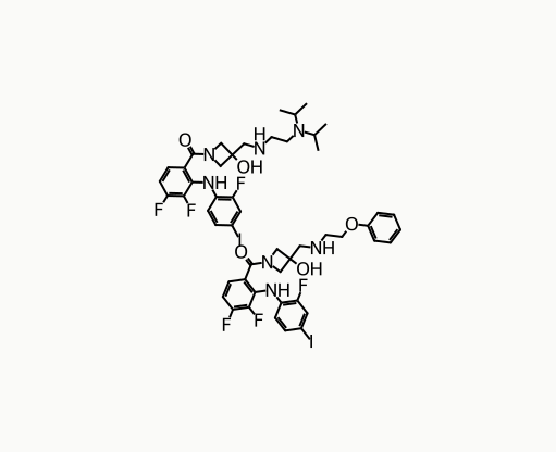 CC(C)N(CCNCC1(O)CN(C(=O)c2ccc(F)c(F)c2Nc2ccc(I)cc2F)C1)C(C)C.O=C(c1ccc(F)c(F)c1Nc1ccc(I)cc1F)N1CC(O)(CNCCOc2ccccc2)C1